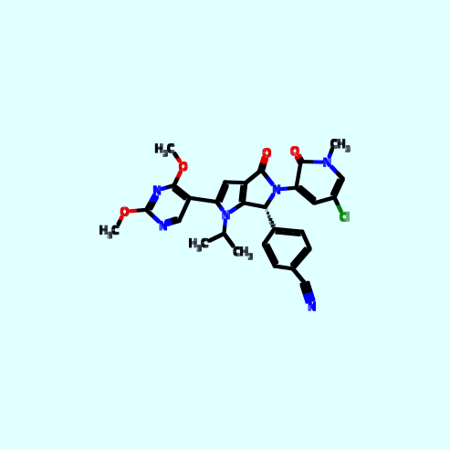 COc1ncc(-c2cc3c(n2C(C)C)[C@@H](c2ccc(C#N)cc2)N(c2cc(Cl)cn(C)c2=O)C3=O)c(OC)n1